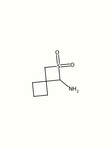 NC1C2(CCC2)CS1(=O)=O